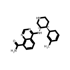 CC1=CC([C@@H]2CCNC[C@H]2Nc2ncnc3c(C(N)=O)cccc23)CC=C1